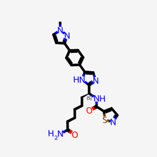 Cn1ccc(-c2ccc(-c3cnc([C@H](CCCCCC(N)=O)NC(=O)c4ccns4)[nH]3)cc2)n1